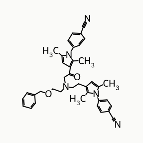 Cc1cc(CCN(CCOCc2ccccc2)CC(=O)c2cc(C)n(-c3ccc(C#N)cc3)c2C)c(C)n1-c1ccc(C#N)cc1